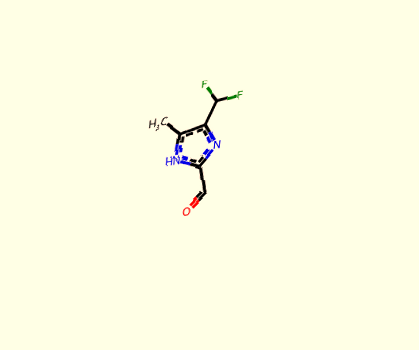 Cc1[nH]c(C=O)nc1C(F)F